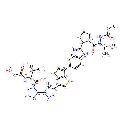 COC(=O)N[C@H](C(=O)N1CCCC1c1nc2cc(-c3csc4c(-c5cnc(C6CCCN6C(=O)[C@@H](NC(=O)CO)C(C)C)[nH]5)csc34)ccc2[nH]1)C(C)C